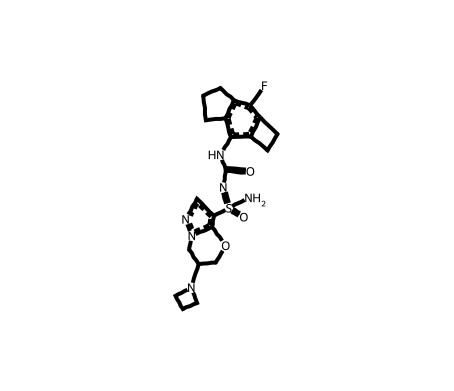 NS(=O)(=NC(=O)Nc1c2c(c(F)c3c1CC3)CCC2)c1cnn2c1OCC(N1CCC1)C2